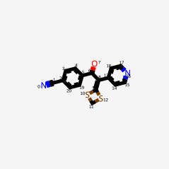 N#Cc1ccc(C(=O)C(=C2SCS2)c2ccncc2)cc1